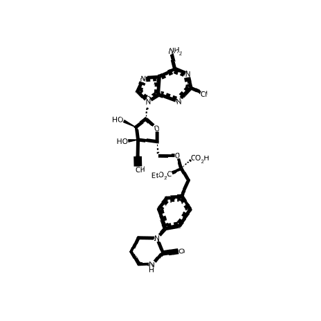 C#C[C@@]1(O)[C@@H](CO[C@](Cc2ccc(N3CCCNC3=O)cc2)(C(=O)O)C(=O)OCC)O[C@@H](n2cnc3c(N)nc(Cl)nc32)[C@@H]1O